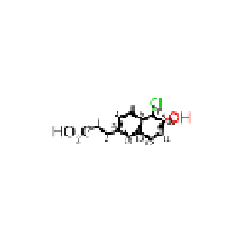 O=C(O)CCc1ccc2c(Cl)c(O)ccc2c1